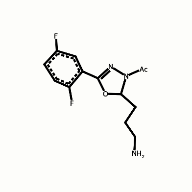 CC(=O)N1N=C(c2cc(F)ccc2F)OC1CCCN